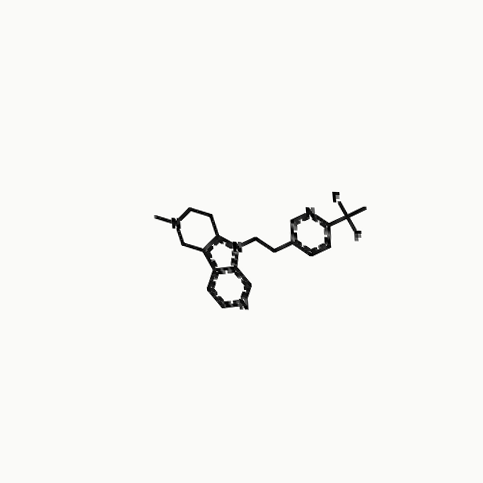 CN1CCc2c(c3ccncc3n2CCc2ccc(C(C)(F)F)nc2)C1